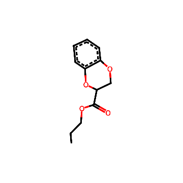 CCCOC(=O)C1COc2ccccc2O1